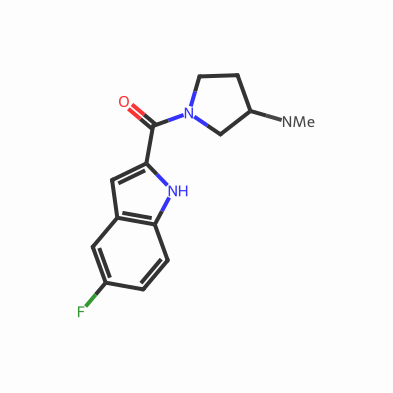 CNC1CCN(C(=O)c2cc3cc(F)ccc3[nH]2)C1